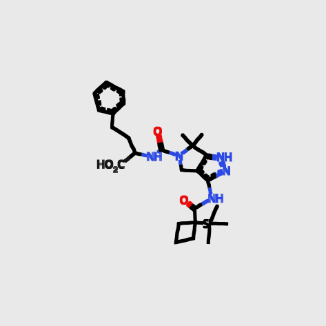 CC1(C)c2[nH]nc(NC(=O)C3([Si](C)(C)C)CCC3)c2CN1C(=O)NC(CCc1ccccc1)C(=O)O